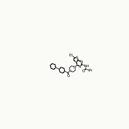 CCc1cc2c(N3CCN(C(=O)c4ccc(-c5ccccc5)cc4)CC3)nc(NC(=O)C(C)C)nc2s1